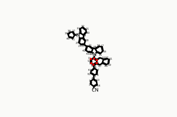 N#Cc1ccc(-c2ccc(-c3ccc(-n4c5ccccc5c5cc(-c6ccc7c(c6)c6ccccc6n7-c6ccccc6)ccc54)c4c3C3c5ccccc5C4c4ccccc43)cc2)cc1